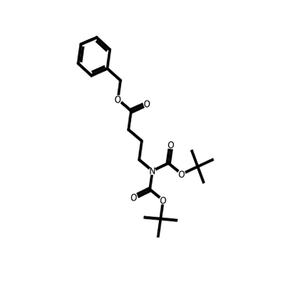 CC(C)(C)OC(=O)N(CCCC(=O)OCc1ccccc1)C(=O)OC(C)(C)C